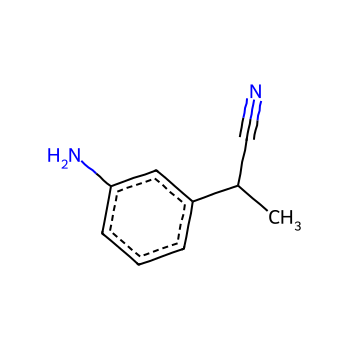 CC(C#N)c1cccc(N)c1